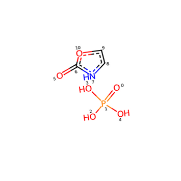 O=P(O)(O)O.O=c1[nH]cco1